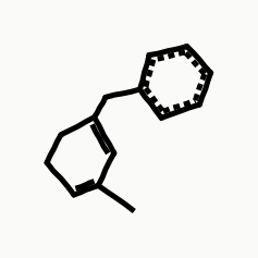 CC1=CCCC(Cc2ccccc2)=C1